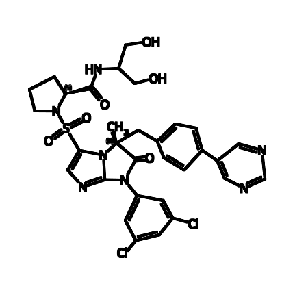 C[C@@]1(Cc2ccc(-c3cncnc3)cc2)C(=O)N(c2cc(Cl)cc(Cl)c2)c2ncc(S(=O)(=O)N3CCC[C@H]3C(=O)NC(CO)CO)n21